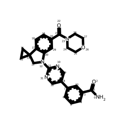 NC(=O)c1cccc(-c2cnc(N3CC4(CC4)c4ccc(C(=O)N5CCOCC5)cc43)nc2)c1